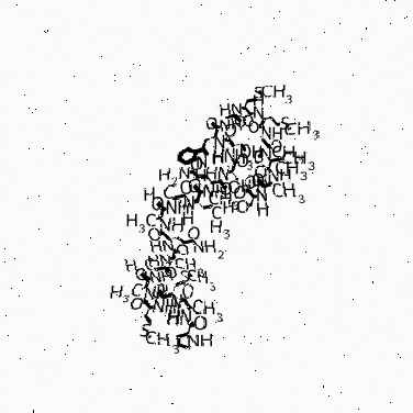 CSCC[C@H](NC(=O)CNC(=O)[C@H](Cc1c[nH]c2ccccc12)NC(=O)[C@H](CO)NC(=O)[C@H](CO)NC(=O)[C@H](CCC(N)=O)NC(=O)[C@H](CC(C)C)NC(=O)[C@H](C)NC(=O)[C@H](C)NC(=O)[C@H](CCC(N)=O)NC(=O)[C@H](C)NC(=O)[C@H](C)NC(=O)[C@H](C)NC(=O)[C@H](CCSC)NC(=O)[C@H](CCSC)NC(=O)[C@H](C)NC(=O)[C@@H]1CCCN1)C(=O)N[C@@H](CCSC)C(=O)NCC(=O)N(C)[C@H](C(=O)N[C@@H](C)C(=O)N[C@@H](CO)C(=O)O)C(C)(C)C